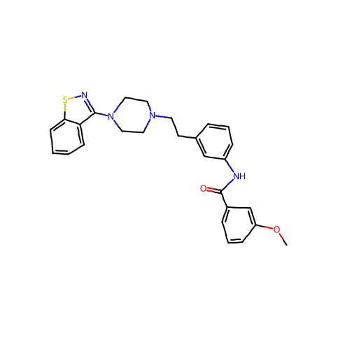 COc1cccc(C(=O)Nc2cccc(CCN3CCN(c4nsc5ccccc45)CC3)c2)c1